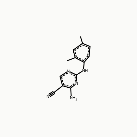 Cc1ccc(Nc2ncc(C#N)c(N)n2)c(C)c1